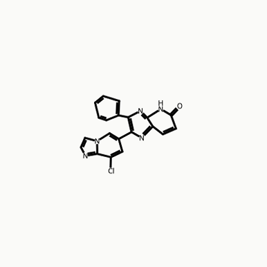 O=c1ccc2nc(-c3cc(Cl)c4nccn4c3)c(-c3ccccc3)nc2[nH]1